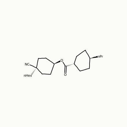 CCCCCC[C@]1(C#N)CC[C@@H](OC(=O)[C@H]2CC[C@H](CCC)CC2)CC1